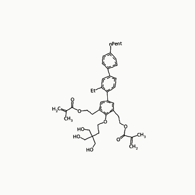 C=C(C)C(=O)OCCc1cc(-c2ccc(-c3ccc(CCCCC)cc3)cc2CC)cc(CCOC(=O)C(=C)C)c1OCCC(CO)(CO)CO